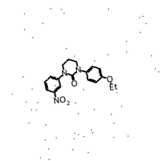 CCOc1ccc(N2CCCN(c3cccc([N+](=O)[O-])c3)C2=O)cc1